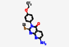 CCSc1nc2nc(N)ccc2c(=O)n1-c1ccc(OCC(F)(F)F)cc1